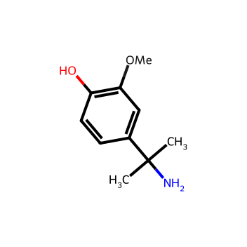 COc1cc(C(C)(C)N)ccc1O